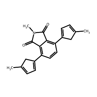 CC1=CC=C(c2ccc(C3=CC=C(C)C3)c3c2C(=O)N(C)C3=O)C1